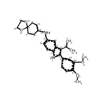 COc1ccc(-c2[nH]c3ccc(NC4CCC5(CC4)OCCO5)cc3c2C(C)C)cc1OC